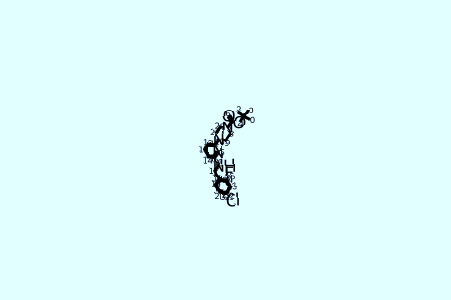 CC(C)(C)OC(=O)N1CCN(c2cccc(NCc3ccc(Cl)cc3F)n2)CC1